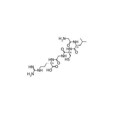 CC(C)C[C@H](NC(=O)CN)C(=O)N[C@@H](CS)C(=O)NCC(=O)N[C@@H](CCCNC(=N)N)C(=O)O